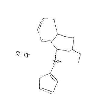 CCC1CC2CC=CC=C2[CH]1[Zr+2][C]1=CC=CC1.[Cl-].[Cl-]